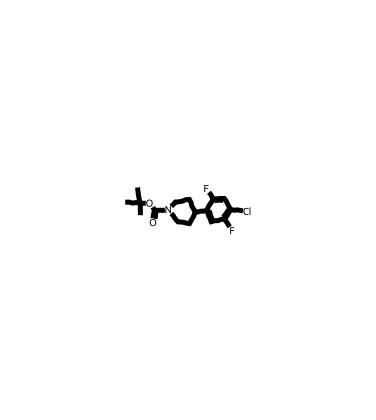 CC(C)(C)OC(=O)N1CCC(c2cc(F)c(Cl)cc2F)CC1